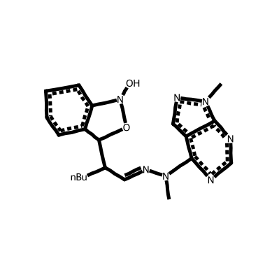 CCCCC(/C=N/N(C)c1ncnc2c1cnn2C)C1ON(O)c2ccccc21